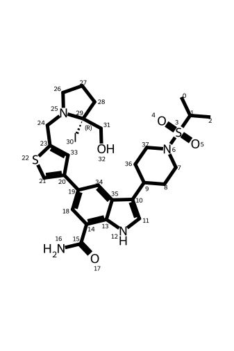 CC(C)S(=O)(=O)N1CCC(c2c[nH]c3c(C(N)=O)cc(-c4csc(CN5CCC[C@@]5(I)CO)c4)cc23)CC1